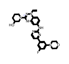 C=CN(/N=C(\N)N1CCCC(O)C1)c1ccc(Nc2nccc(-c3cc(F)cc(N4CCOCC4)c3)n2)cc1